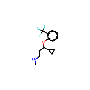 CNCCC(Oc1ccccc1C(F)(F)F)C1CC1